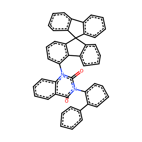 O=c1c2ccccc2n(-c2cccc3c2-c2ccccc2C32c3ccccc3-c3ccccc32)c(=O)n1-c1ccccc1-c1ccccc1